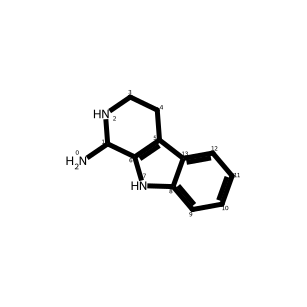 NC1NCCc2c1[nH]c1ccccc21